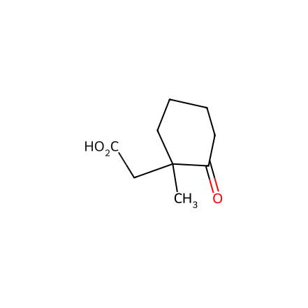 CC1(CC(=O)O)CCCCC1=O